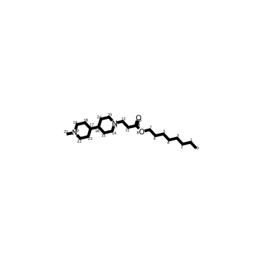 CCCCCCCCOC(=O)CCN1CCC(C2CCN(C)CC2)CC1